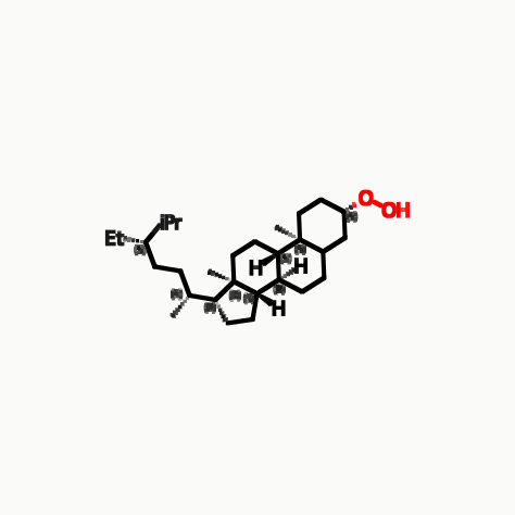 CC[C@@H](CC[C@@H](C)[C@H]1CC[C@H]2[C@@H]3CCC4C[C@@H](OO)CC[C@]4(C)[C@H]3CC[C@]12C)C(C)C